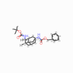 CC(C)(C)OC(=O)N[C@@H]1C2CC3C[C@H]1C[C@@](NC(=O)OCc1ccccc1)(C3)C2